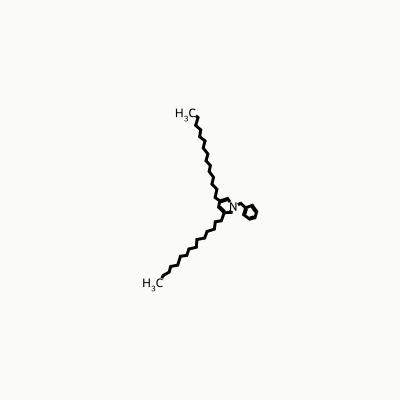 CCCCCCCCCCCCCCCc1cc(CCCCCCCCCCCCCCC)c[n+](Cc2ccccc2)c1